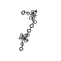 CC(C)(C)OC(=O)N(CCOCc1ccccc1)[C@H](C(=O)OCC(=O)c1ccc(-c2ccc(C(=O)COC(=O)[C@@H](N(CCOCc3ccccc3)C(=O)OC(C)(C)C)C(C)(C)C)cc2)cc1)C(C)(C)C